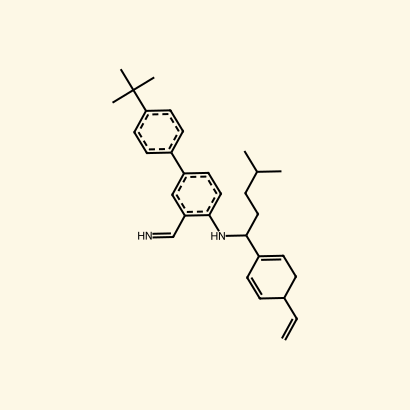 C=CC1C=CC(C(CCC(C)C)Nc2ccc(-c3ccc(C(C)(C)C)cc3)cc2C=N)=CC1